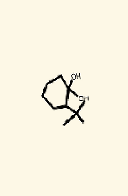 CC(C)(C)C1CCCCC1(O)O